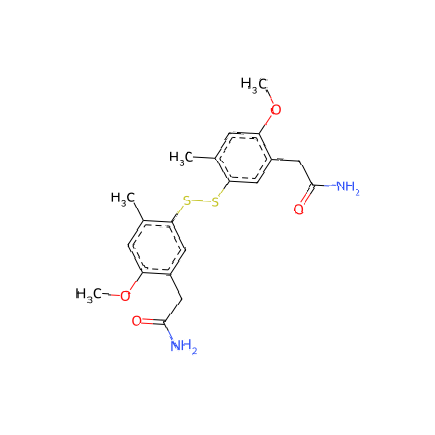 COc1cc(C)c(SSc2cc(CC(N)=O)c(OC)cc2C)cc1CC(N)=O